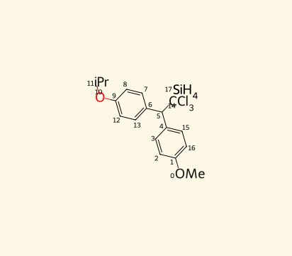 COc1ccc(C(c2ccc(OC(C)C)cc2)C(Cl)(Cl)Cl)cc1.[SiH4]